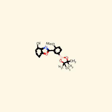 COc1ccc(B2OC(C)(C)C(C)(C)O2)cc1-c1nc2c(C#N)cccc2o1